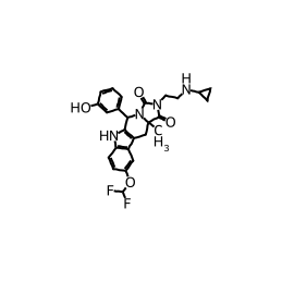 CC12Cc3c([nH]c4ccc(OC(F)F)cc34)C(c3cccc(O)c3)N1C(=O)N(CCNC1CC1)C2=O